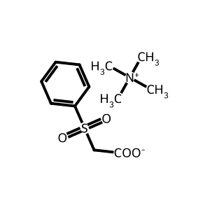 C[N+](C)(C)C.O=C([O-])CS(=O)(=O)c1ccccc1